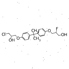 CC(C)(c1ccc(OCC(O)CCl)cc1)c1ccc(OCC(F)CO)cc1